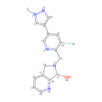 Cn1cc(-c2cnc(CN3Cc4cccnc4C3O)c(F)c2)cn1